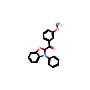 COc1cccc(C(=O)C2Oc3ccccc3N2c2ccccc2)c1